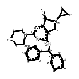 O=C1c2nc(N3CCOCC3)nc(NC(c3ccccc3)c3ccccc3)c2CN1C1CC1